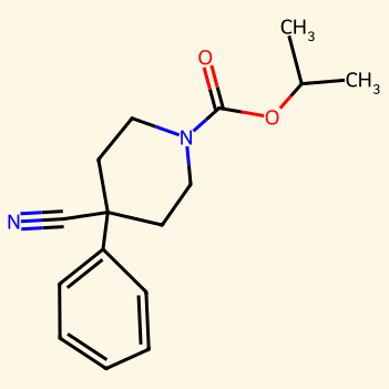 CC(C)OC(=O)N1CCC(C#N)(c2ccccc2)CC1